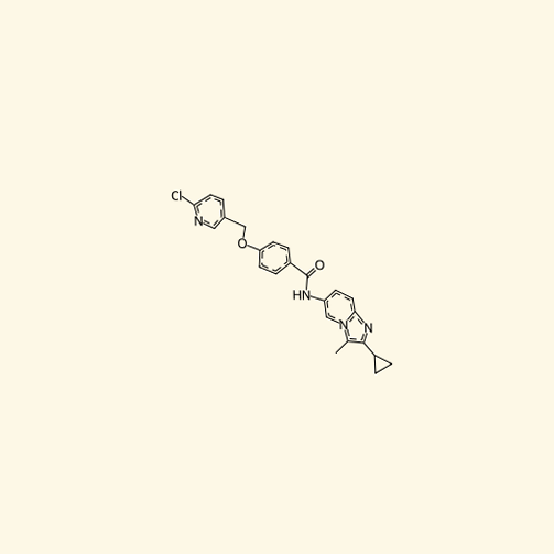 Cc1c(C2CC2)nc2ccc(NC(=O)c3ccc(OCc4ccc(Cl)nc4)cc3)cn12